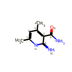 CC1=CC(C)=C(C(N)=O)C(=N)[N]1